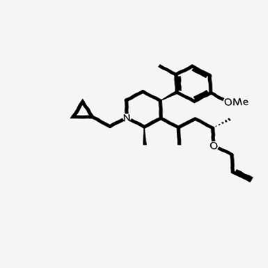 C=CCO[C@@H](C)CC(C)C1[C@@H](C)N(CC2CC2)CC[C@H]1c1cc(OC)ccc1C